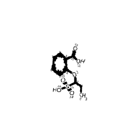 CCC(Oc1ccccc1C(=O)O)S(=O)(=O)O